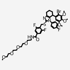 COCCOCCOCCOCCNC(=O)c1cc(F)c(CSc2nc3c(n2-c2ccc(F)cc2)C(c2cc(OC)c(OC)c(OC)c2Br)CCC3)c(F)c1